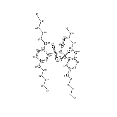 CCCCCOc1ccc(OCCCCC)c(S(=O)(=O)C(=[N+]=[N-])S(=O)(=O)c2cc(OCCCCC)ccc2OCCCCC)c1